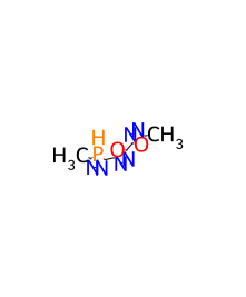 Cc1nnc(-c2nnc(-c3nnc(C)[pH]3)o2)o1